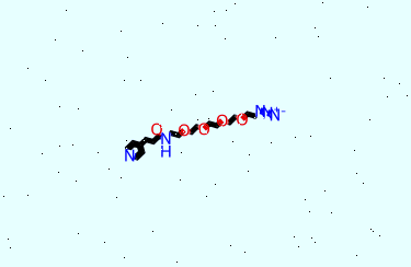 [N-]=[N+]=NCCOCCOCCOCCOCCNC(=O)CCc1ccncc1